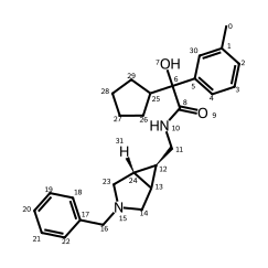 Cc1cccc(C(O)(C(=O)NC[C@H]2C3CN(Cc4ccccc4)C[C@@H]32)C2CCCC2)c1